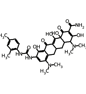 Cc1ccc(NC(=O)Nc2cc(N(C)C)c3c(c2O)C(=O)C2=C(O)C4(O)C(=O)C(C(N)=O)=C(O)C(N(C)C)C4CC2C3)c(C)c1